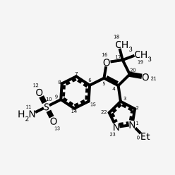 CCn1cc(C2=C(c3ccc(S(N)(=O)=O)cc3)OC(C)(C)C2=O)cn1